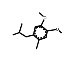 COc1cc(C)c(CC(C)C)cc1OC